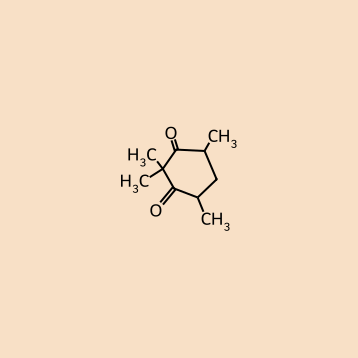 CC1CC(C)C(=O)C(C)(C)C1=O